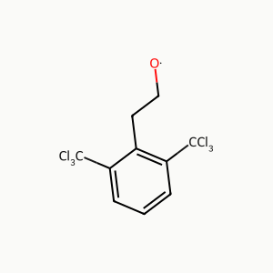 [O]CCc1c(C(Cl)(Cl)Cl)cccc1C(Cl)(Cl)Cl